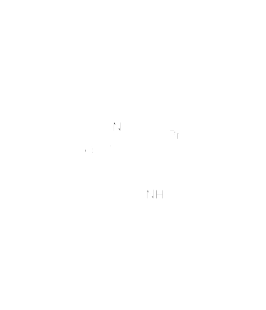 Cn1cc(Br)c(C=N)cc1=O